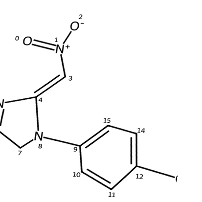 O=[N+]([O-])C=C1N=CCN1c1ccc(Cl)cc1